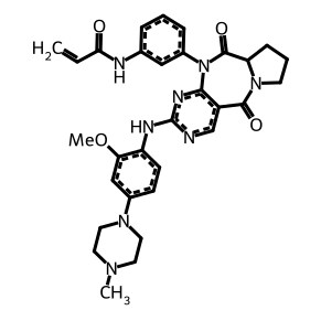 C=CC(=O)Nc1cccc(N2C(=O)C3CCCN3C(=O)c3cnc(Nc4ccc(N5CCN(C)CC5)cc4OC)nc32)c1